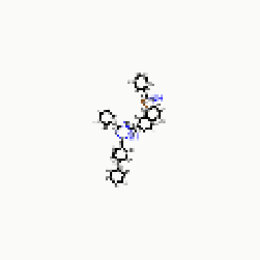 c1ccc(C2=NC(c3ccc(-c4ccccc4)cc3)NC(c3ccc4ccc5c(c4c3)SC(c3ccccc3)N5)=N2)cc1